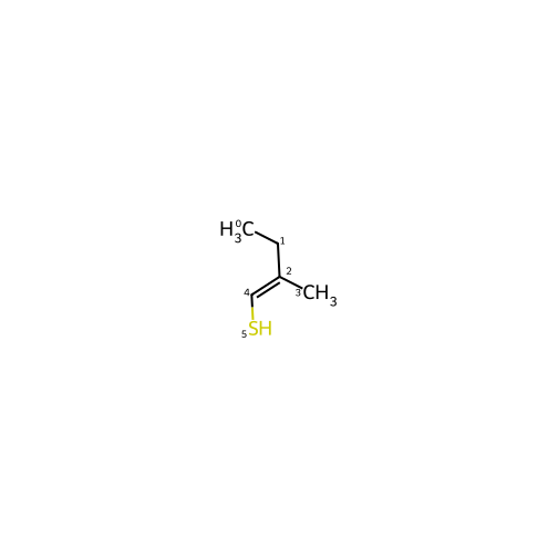 CCC(C)=CS